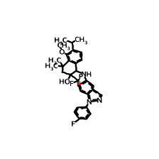 COc1c(C(C)C)ccc2c1C(C)(C)CC(O)(C(F)(F)F)C2Nc1ccc2c(cnn2-c2ccc(F)cc2)c1